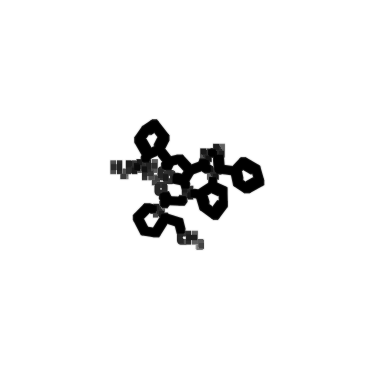 C=C(CC1C(=O)N(CC(=O)N2CCCCC2CC)c2ccccc2-n2c(-c3ccccc3)nnc21)c1ccccc1NN